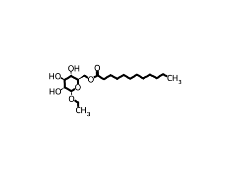 CCCCCCCCCCCC(=O)OC[C@H]1O[C@H](OCC)[C@H](O)[C@@H](O)[C@@H]1O